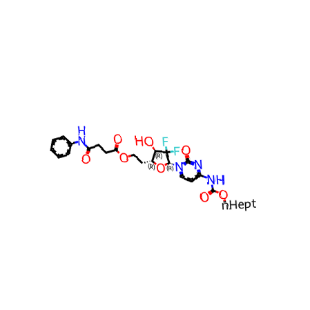 CCCCCCCOC(=O)Nc1ccn([C@@H]2O[C@H](CCOC(=O)CCC(=O)Nc3ccccc3)[C@@H](O)C2(F)F)c(=O)n1